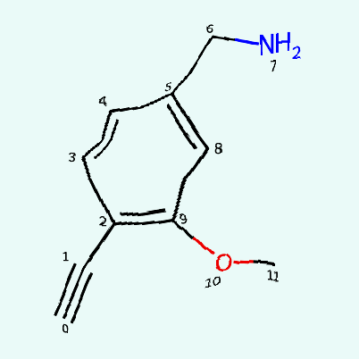 C#Cc1ccc(CN)cc1OC